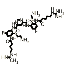 CC(=N)NCCCCC(=O)Nc1cc(F)cc(NC(=O)c2cc(C(=O)Nc3cc(F)cc(NC(=O)CCCCNC(=N)N)c3SCCN)ncn2)c1SCCN